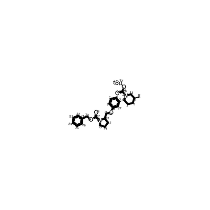 C[C@H]1CC[C@H](c2cccc(OCC3CCCN3C(=O)OCc3ccccc3)c2)N(C(=O)OC(C)(C)C)C1